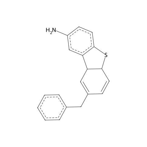 Nc1ccc2c(c1)C1C=C(Cc3ccccc3)C=CC1S2